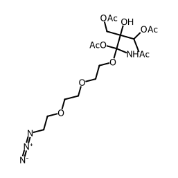 CC(=O)NC(OCCOCCOCCN=[N+]=[N-])(OC(C)=O)C(O)(COC(C)=O)C(C)OC(C)=O